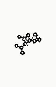 c1ccc(-c2cc(-c3ccccc3)cc(-c3cnc(-c4ccc5sc6c7c(ccc6c5c4)-c4ccccc4C7c4ccccc4)c(-c4nc(-c5ccccc5)nc(-c5ccccc5)n4)c3)c2)cc1